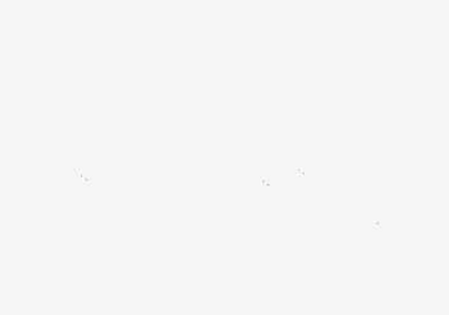 COc1ccc(O)c(C(=O)N/N=C/C=C/c2ccc([N+](=O)[O-])o2)c1